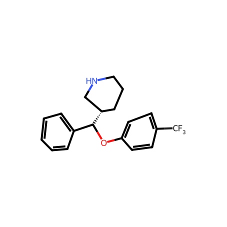 FC(F)(F)c1ccc(OC(c2ccccc2)[C@H]2CCCNC2)cc1